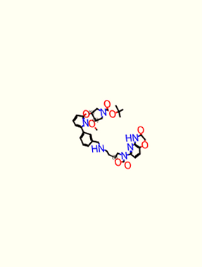 CO[C@@H]1CN(C(=O)OC(C)(C)C)C[C@@H]1Oc1cccc(-c2cccc(CNCC[C@H]3CN(c4ccc5c(n4)NC(=O)CO5)C(=O)O3)c2)n1